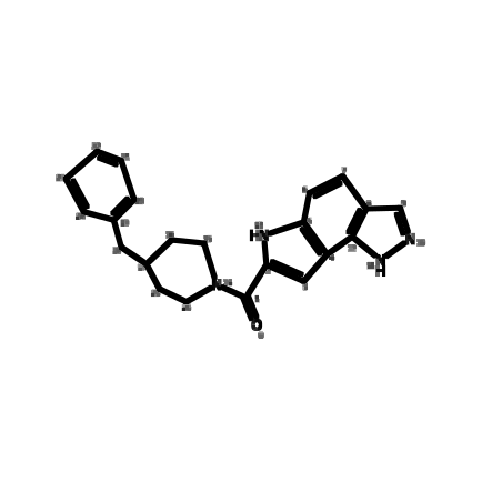 O=C(c1cc2c(ccc3cn[nH]c32)[nH]1)N1CCC(Cc2ccccc2)CC1